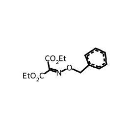 CCOC(=O)C(=NOCc1ccccc1)C(=O)OCC